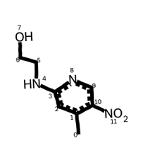 Cc1cc(NCCO)ncc1[N+](=O)[O-]